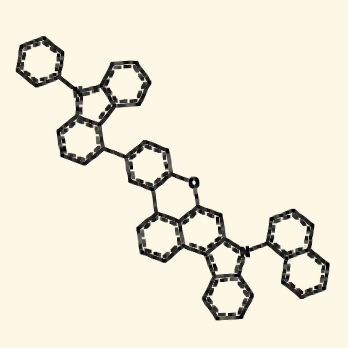 c1ccc(-n2c3ccccc3c3c(-c4ccc5c(c4)-c4cccc6c4c(cc4c6c6ccccc6n4-c4cccc6ccccc46)O5)cccc32)cc1